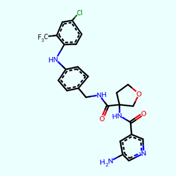 Nc1cncc(C(=O)NC2(C(=O)NCc3ccc(Nc4ccc(Cl)cc4C(F)(F)F)cc3)CCOC2)c1